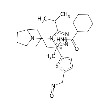 Cc1nnc(C(C)C)n1C1CC2CCC(C1)N2CC[C@H](NC(=O)C1CCCCC1)c1ccc(CN=O)s1